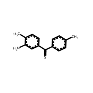 Cc1ccc(C(=S)c2ccc(C)c(N)c2)cc1